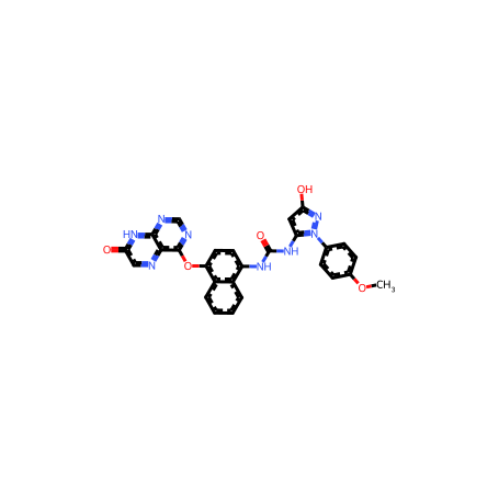 COc1ccc(-n2nc(O)cc2NC(=O)Nc2ccc(Oc3ncnc4[nH]c(=O)cnc34)c3ccccc23)cc1